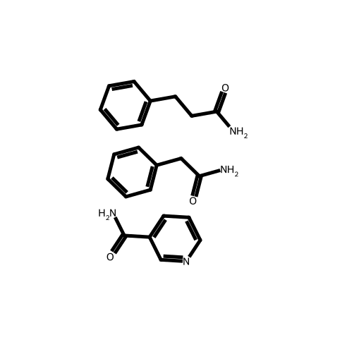 NC(=O)CCc1ccccc1.NC(=O)Cc1ccccc1.NC(=O)c1cccnc1